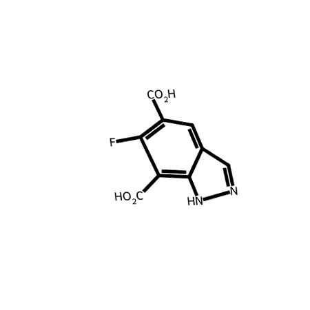 O=C(O)c1cc2cn[nH]c2c(C(=O)O)c1F